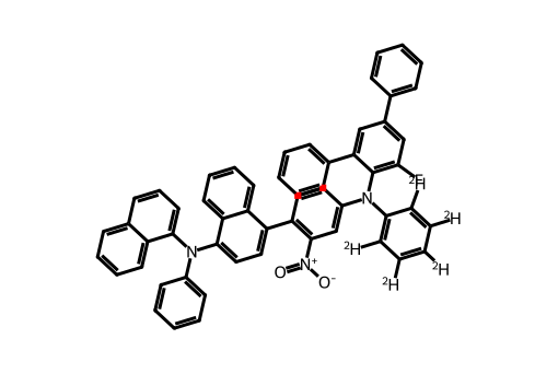 [2H]c1c([2H])c([2H])c(N(c2ccc(-c3ccc(N(c4ccccc4)c4cccc5ccccc45)c4ccccc34)c([N+](=O)[O-])c2)c2c(F)cc(-c3ccccc3)cc2-c2ccccc2)c([2H])c1[2H]